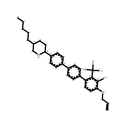 C=CCOc1ccc(-c2ccc(-c3ccc(C4CCC(CCCCC)CO4)cc3)cc2)c(C(F)(F)F)c1F